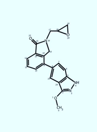 COc1n[nH]c2ccc(-c3cccc4c3CN(CC3CO3)C4=O)cc12